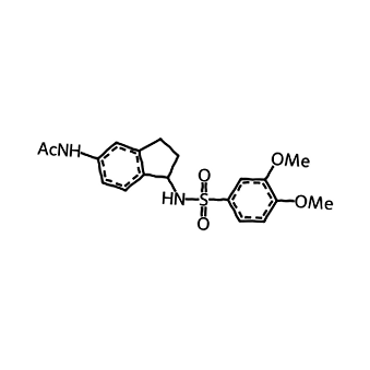 COc1ccc(S(=O)(=O)NC2CCc3cc(NC(C)=O)ccc32)cc1OC